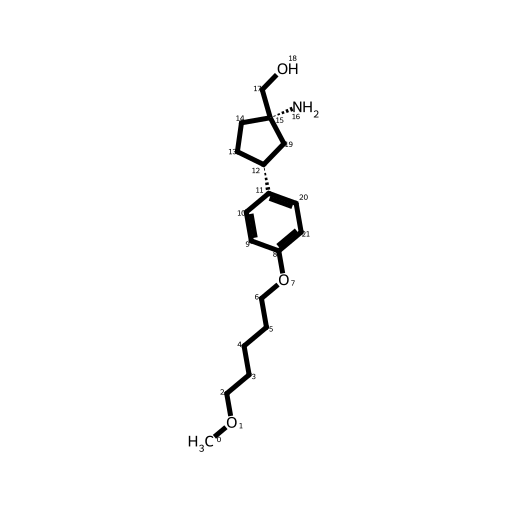 COCCCCCOc1ccc([C@@H]2CC[C@@](N)(CO)C2)cc1